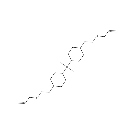 C=CCOCCC1CCC(C(C)(C)C2CCC(CCOCC=C)CC2)CC1